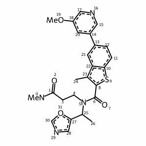 CNC(=O)CCN(C(=O)c1sc2ccc(-c3cncc(OC)c3)cc2c1C)C(C)c1cnco1